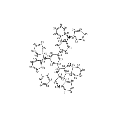 c1ccc(-c2nc3ccccc3c3c2cc(-c2cc(-c4ccc5c(c4)c4ccccc4n5-c4ccccc4)cc(-n4c5ccccc5c5ccccc54)c2)c2oc4ccccc4c23)cc1